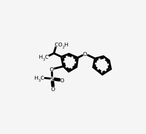 CC(C(=O)O)c1cc(Oc2ccccc2)ccc1OS(C)(=O)=O